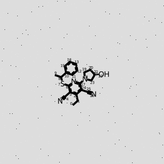 CCc1c(C#N)c(SC(C)c2ccccc2)nc(N2CC[C@@H](O)C2)c1C#N